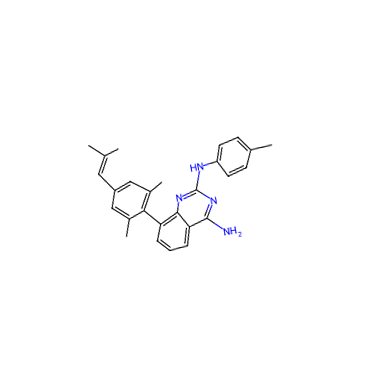 CC(C)=Cc1cc(C)c(-c2cccc3c(N)nc(Nc4ccc(C)cc4)nc23)c(C)c1